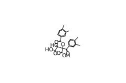 Cc1ccc(C(=O)OC(C(=O)O)(C(=O)c2ccc(C)c(C)c2)C(O)C(=O)O)cc1C